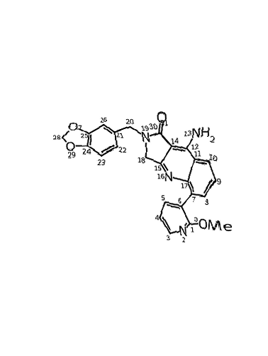 COc1ncccc1-c1cccc2c(N)c3c(nc12)CN(Cc1ccc2c(c1)OCO2)C3=O